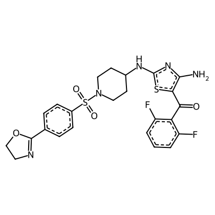 Nc1nc(NC2CCN(S(=O)(=O)c3ccc(C4=NCCO4)cc3)CC2)sc1C(=O)c1c(F)cccc1F